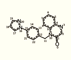 O=c1cnc2ccccc2n1Cc1ccc(-n2cccn2)cc1